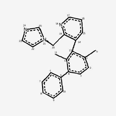 Cc1ccc(-c2ccccc2)c(C)c1-c1cccnc1Cn1ccnc1